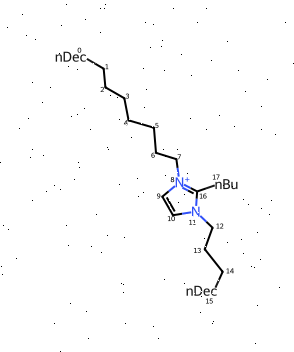 CCCCCCCCCCCCCCCCC[n+]1ccn(CCCCCCCCCCCCC)c1CCCC